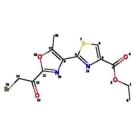 CCOC(=O)c1csc(-c2nc(C(=O)CBr)oc2C)n1